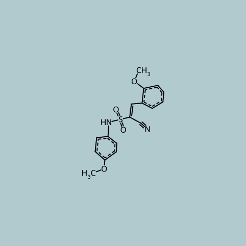 COc1ccc(NS(=O)(=O)/C(C#N)=C/c2ccccc2OC)cc1